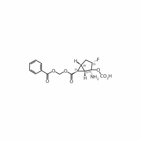 N[C@]1(OC(=O)O)[C@H]2[C@@H](C[C@@H]1F)[C@@H]2C(=O)OCOC(=O)c1ccccc1